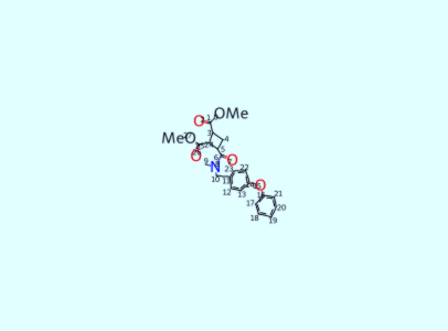 COC(=O)C1CC(C(=O)N(C)Cc2ccc(Oc3ccccc3)cc2)C1C(=O)OC